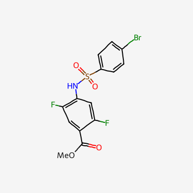 COC(=O)c1cc(F)c(NS(=O)(=O)c2ccc(Br)cc2)cc1F